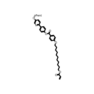 C=CC(=O)OCCCCCCCCCCCOc1ccc(C(=O)Oc2ccc(-c3ccc(OCCCCC)cn3)cc2)cc1